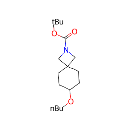 CCCCOC1CCC2(CC1)CN(C(=O)OC(C)(C)C)C2